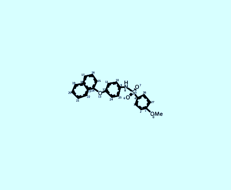 COc1ccc(S(=O)(=O)Nc2ccc(Oc3cccc4ccccc34)cc2)cc1